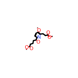 COC(=O)CCCC(=O)c1ccc(OC)c(CCC(=O)OC)n1